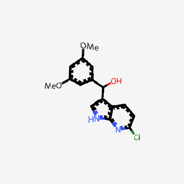 COc1cc(OC)cc(C(O)c2c[nH]c3nc(Cl)ccc23)c1